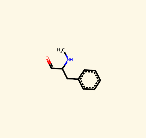 CNC(C=O)Cc1ccccc1